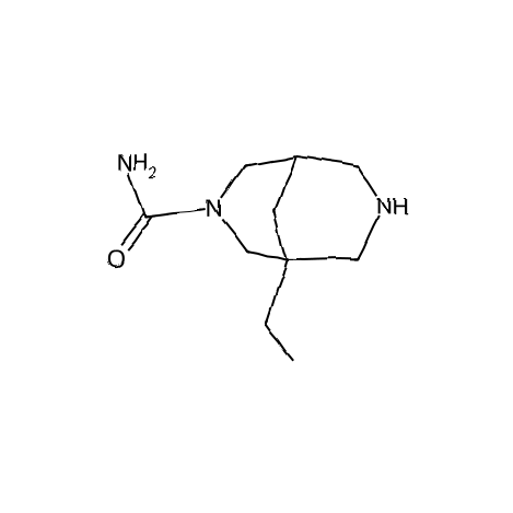 CCC12CNCC(CN(C(N)=O)C1)C2